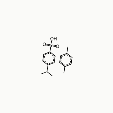 CC(C)c1ccc(S(=O)(=O)O)cc1.Cc1ccc(C)cc1